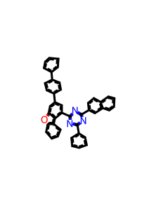 c1ccc(-c2ccc(-c3cc(-c4nc(-c5ccccc5)nc(-c5ccc6ccccc6c5)n4)c4c(c3)oc3ccccc34)cc2)cc1